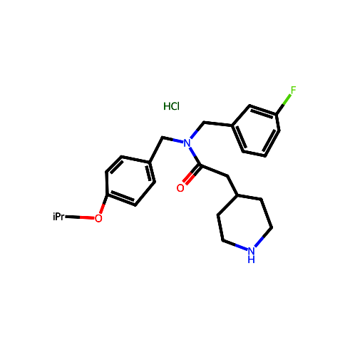 CC(C)Oc1ccc(CN(Cc2cccc(F)c2)C(=O)CC2CCNCC2)cc1.Cl